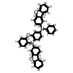 c1ccc(N(c2ccc3c(c2)Oc2ccccc2N3c2ccc3c(c2)oc2ccccc23)c2ccc3oc4ccccc4c3c2)cc1